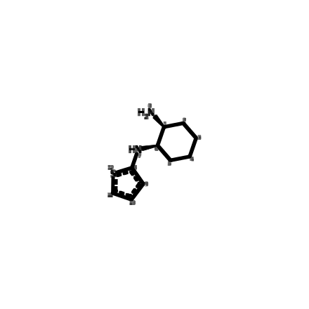 N[C@H]1CCCC[C@H]1Nc1cccs1